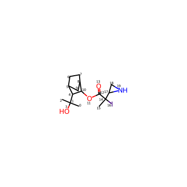 CC(C)(O)C1C2CCC(C2)C1OC(=O)C(C)(I)C1CN1